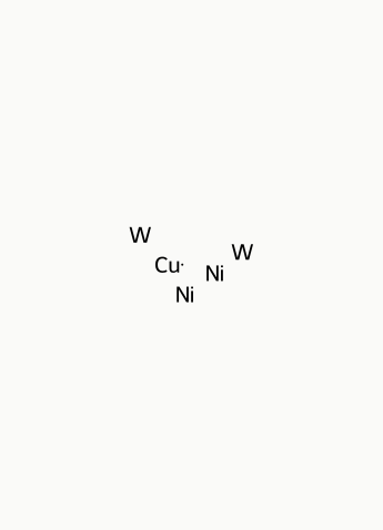 [Cu].[Ni].[Ni].[W].[W]